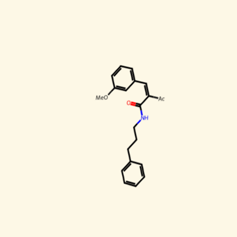 COc1cccc(C=C(C(C)=O)C(=O)NCCCc2ccccc2)c1